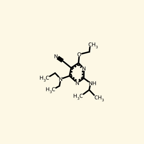 CCOc1nc(NC(C)C)nc(N(CC)CC)c1C#N